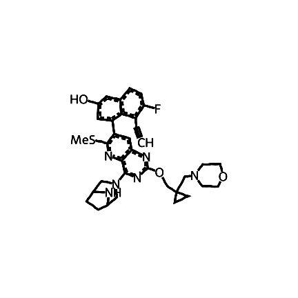 C#Cc1c(F)ccc2cc(O)cc(-c3cc4nc(OCC5(CN6CCOCC6)CC5)nc(N5CC6CCC(C5)N6)c4nc3SC)c12